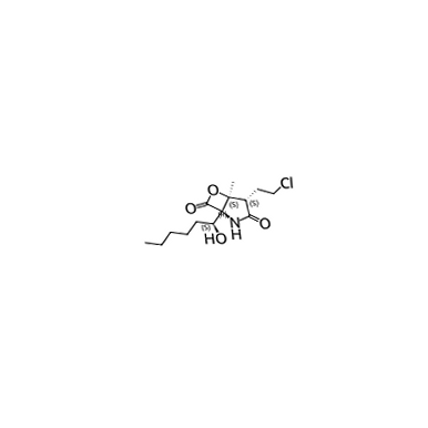 CCCCC[C@H](O)[C@@]12NC(=O)[C@@H](CCCl)[C@]1(C)OC2=O